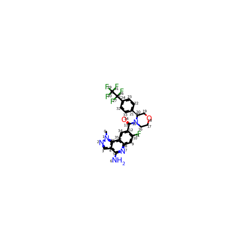 Cn1ncc2c(N)nc3cc(F)c(C(=O)N4CCOC[C@@H]4c4ccc(C(F)(F)C(F)(F)F)cc4)cc3c21